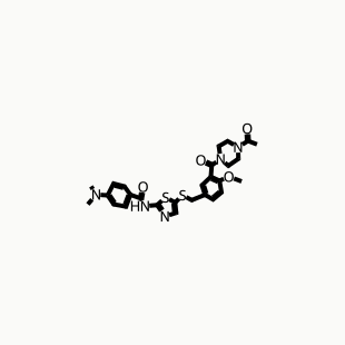 COc1ccc(CSc2cnc(NC(=O)c3ccc(N(C)C)cc3)s2)cc1C(=O)N1CCN(C(C)=O)CC1